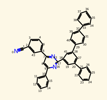 N#Cc1cccc(-c2cc(-c3ccccc3)nc(-c3cc(-c4ccccc4)cc(-c4ccc(-c5ccccc5)cc4)c3)n2)c1